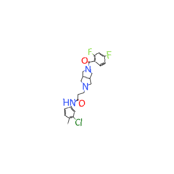 Cc1ccc(NC(=O)CCN2CC3CN(C(=O)c4ccc(F)cc4F)CC3C2)cc1Cl